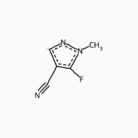 Cn1n[c]c(C#N)c1F